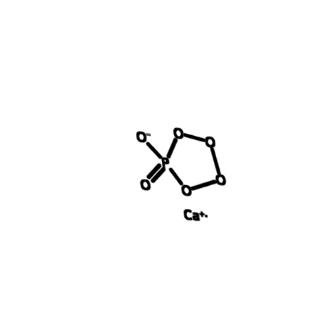 O=P1([O-])OOOO1.[Ca+]